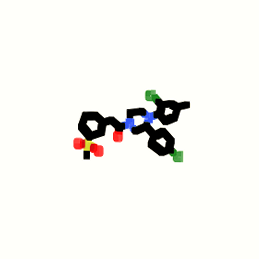 Cc1ccc(N2CCN(C(=O)Cc3cccc(S(C)(=O)=O)c3)CC2c2ccc(Cl)cc2)c(Cl)c1